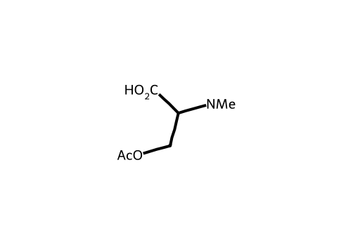 CNC(COC(C)=O)C(=O)O